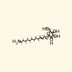 NCCCCCCCCC/C=C/CO[C@@H]1OC(CO)[C@H](O)[C@H](O)C1O